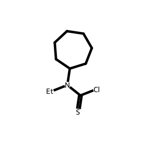 CCN(C(=S)Cl)C1CCCCCC1